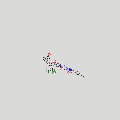 CCCCCC1CCC(C2CCC(C(=O)Nc3ccc(C(=O)Nc4ccc(-c5cc6c7c(c8c(c6cc5OC)OC(c5ccccc5)(c5ccc(OC)cc5)C=C8)C(C)(C)c5c-7cc(C(F)(F)F)cc5C(F)(F)F)c(C)c4)cc3)CC2)CC1